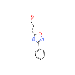 O=CCCc1nc(-c2ccccc2)no1